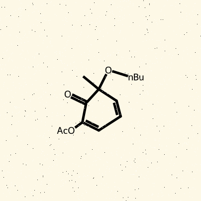 CCCCOC1(C)C=CC=C(OC(C)=O)C1=O